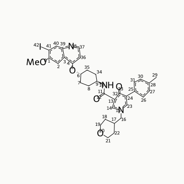 COc1cc2c(O[C@H]3CC[C@H](NC(=O)c4cn(CC5CCOCC5)cc(-c5ccc(C)cc5)c4=O)CC3)ccnc2cc1I